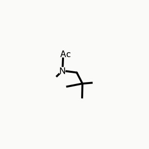 CC(=O)N(C)CC(C)(C)C